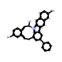 CCC1/C=c2/ccc(C(C)C)c/c2=C/Cc2cc(-c3ccccc3)cc3c4cc5cc(C(C)C)ccc5cc4n1c23